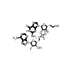 Nc1nc2c(ncn2[C@@H]2O[C@H](CCO)[C@@H](F)[C@H]2OP(O)(=S)OC[C@H]2O[C@@H](n3nnc4c(N)ncnc43)[C@@H](F)[C@@H]2O)c(=O)[nH]1